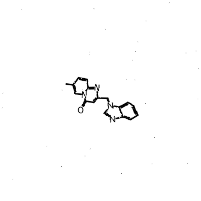 Cc1ccc2nc(Cn3cnc4ccccc43)cc(=O)n2c1